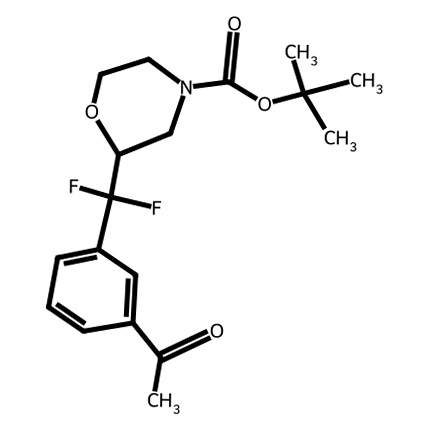 CC(=O)c1cccc(C(F)(F)C2CN(C(=O)OC(C)(C)C)CCO2)c1